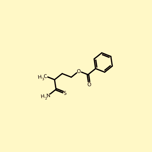 CC(CCOC(=O)c1ccccc1)C(N)=S